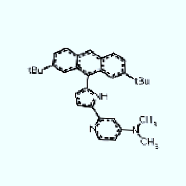 CN(C)c1ccnc(-c2ccc(-c3c4cc(C(C)(C)C)ccc4cc4ccc(C(C)(C)C)cc34)[nH]2)c1